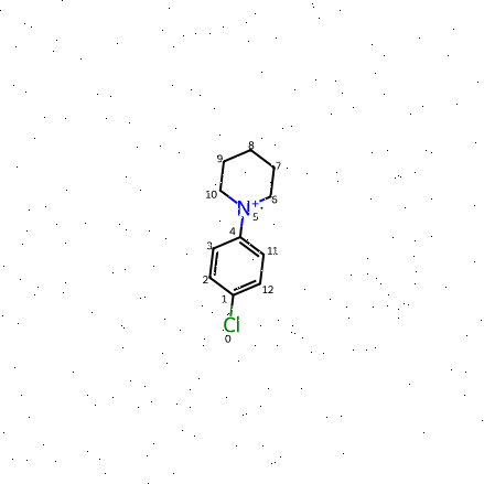 Clc1ccc([N+]2CCCCC2)cc1